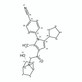 Cc1c(C(=O)CN2C3CCC2[C@H](O)C3)cc(C2CCCC2)n1-c1ccc(C#N)cc1